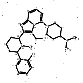 CN(C)C1CCN(c2cccc3nc(C4CCCC(c5ncccc5Cl)N4C)c(CO)n23)CC1